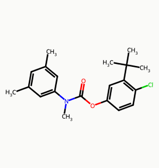 Cc1cc(C)cc(N(C)C(=O)Oc2ccc(Cl)c(C(C)(C)C)c2)c1